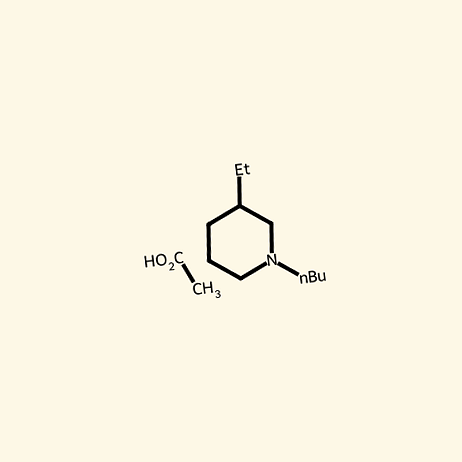 CC(=O)O.CCCCN1CCCC(CC)C1